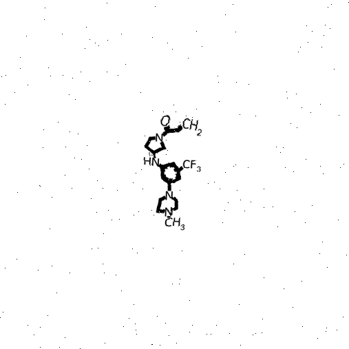 C=CC(=O)N1CC[C@H](Nc2cc(N3CCN(C)CC3)cc(C(F)(F)F)c2)C1